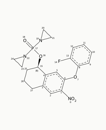 O=[N+]([O-])c1cc2c(cc1Oc1ccccc1F)[C@H](OP(=O)(N1CC1)N1CC1)CCC2